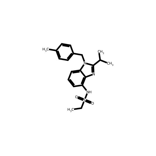 CCS(=O)(=O)Nc1cccc2c1nc(C(C)C)n2Cc1ccc(C)cc1